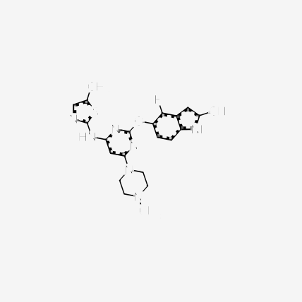 Cc1cc2c(F)c(Oc3nc(Nc4ncc(C)s4)cc(N4CCN(C)CC4)n3)ccc2[nH]1